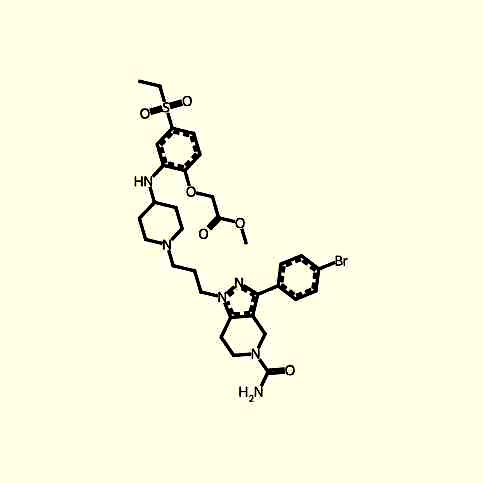 CCS(=O)(=O)c1ccc(OCC(=O)OC)c(NC2CCN(CCCn3nc(-c4ccc(Br)cc4)c4c3CCN(C(N)=O)C4)CC2)c1